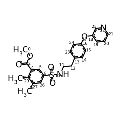 COC(=O)c1cc(S(=O)(=O)NCCc2ccc(Oc3cccnc3)cc2)cc(C)c1C